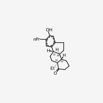 CCCc1cc2c(cc1O)CC[C@@H]1[C@@H]2CC[C@]2(CC)C(=O)CCC[C@@H]12